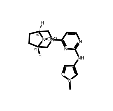 Cn1cc(Nc2nccc(N3C[C@@H]4CC[C@@H](C3)N4C=O)n2)cn1